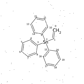 C=[CH][Sn]([c]1ccccc1)([c]1ccccc1)[c]1ccccc1